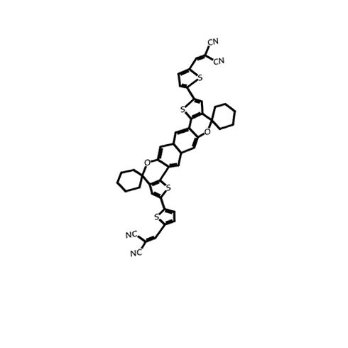 N#CC(C#N)=Cc1ccc(-c2cc3c(s2)C2=CC4C=C5OC6(CCCCC6)c6cc(-c7ccc(C=C(C#N)C#N)s7)sc6C5=CC4C=C2OC32CCCCC2)s1